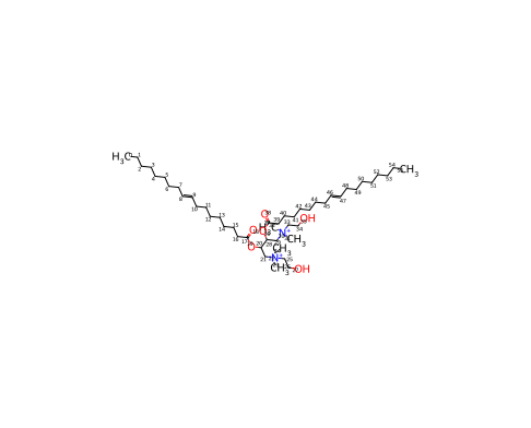 CCCCCCCCC=CCCCCCCCC(=O)OC(C[N+](C)(C)CCO)C(C[N+](C)(C)CCO)OC(=O)CCCCCCCC=CCCCCCCCC